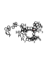 CC[C@H]1OC(=O)[C@H](C)[C@@H](O[C@H]2C[C@@](C)(OC)[C@@H](O)[C@H](C)O2)[C@H](C)[C@@H](O[C@H]2C[C@@H](N(C)CCc3cc(OCC4CN(c5cccc(F)c5)C(=O)O4)no3)C[C@@H](C)O2)[C@](C)(O)C[C@@H](C)CN(C)[C@H](C)[C@@H](O)[C@]1(C)O